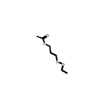 CCOOCCCOC(C)=O